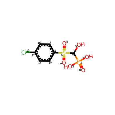 O=P(O)(O)C(O)S(=O)(=O)c1ccc(Cl)cc1